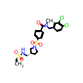 C=CS(=O)(=O)NC[C@H]1CCN(S(=O)(=O)c2ccc(C(=O)N(C)Cc3ccc(Cl)c(Cl)c3)cc2)C1